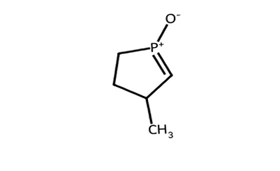 CC1C=[P+]([O-])CC1